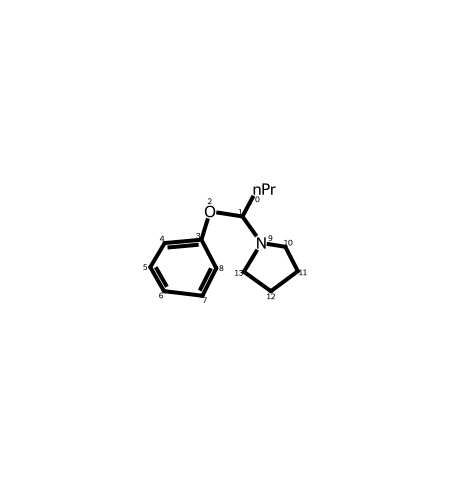 CCCC(Oc1ccccc1)N1CCCC1